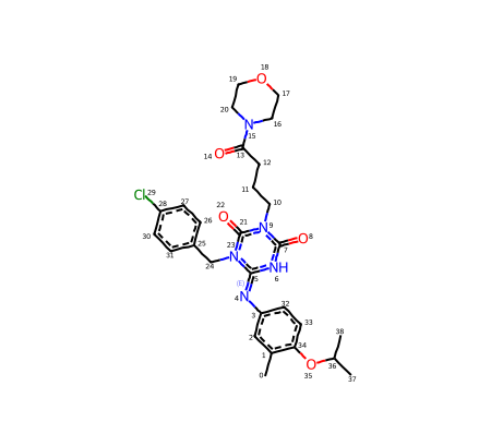 Cc1cc(/N=c2\[nH]c(=O)n(CCCC(=O)N3CCOCC3)c(=O)n2Cc2ccc(Cl)cc2)ccc1OC(C)C